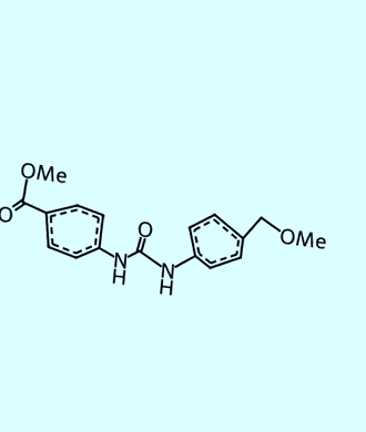 COCc1ccc(NC(=O)Nc2ccc(C(=O)OC)cc2)cc1